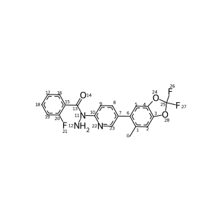 Cc1cc2c(cc1-c1ccc(N(N)C(=O)c3ccccc3F)nc1)OC(F)(F)O2